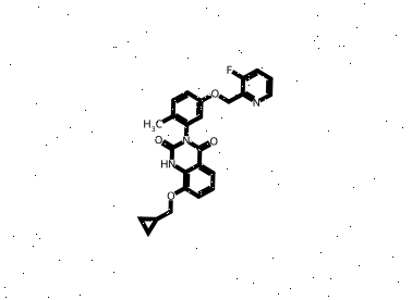 Cc1ccc(OCc2ncccc2F)cc1-n1c(=O)[nH]c2c(OCC3CC3)cccc2c1=O